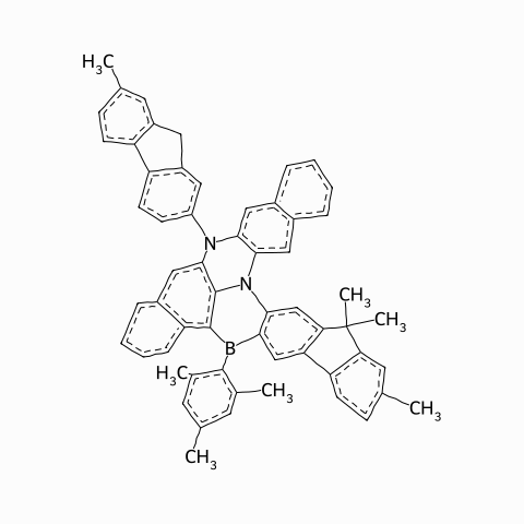 Cc1cc(C)c(B2c3cc4c(cc3N3c5cc6ccccc6cc5N(c5ccc6c(c5)Cc5cc(C)ccc5-6)c5cc6ccccc6c2c53)C(C)(C)c2cc(C)ccc2-4)c(C)c1